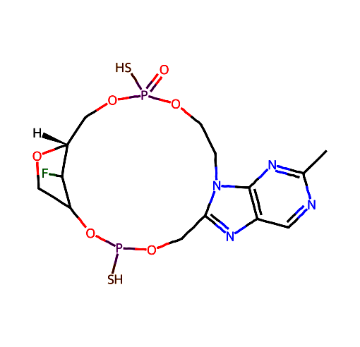 Cc1ncc2nc3n(c2n1)CCOP(=O)(S)OC[C@H]1OCC(OP(S)OC3)C1F